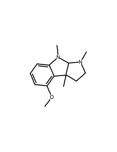 COc1cccc2c1C1(C)CCN(C)C1N2C